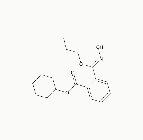 CCCOC(=NO)c1ccccc1C(=O)OC1CCCCC1